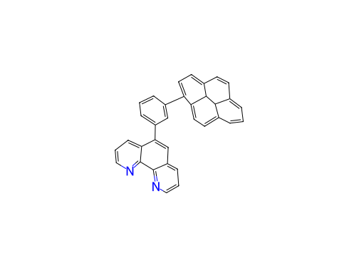 C1=CC2=CC=C3C(c4cccc(-c5cc6cccnc6c6ncccc56)c4)=CC=C4C=CC(=C1)C2C43